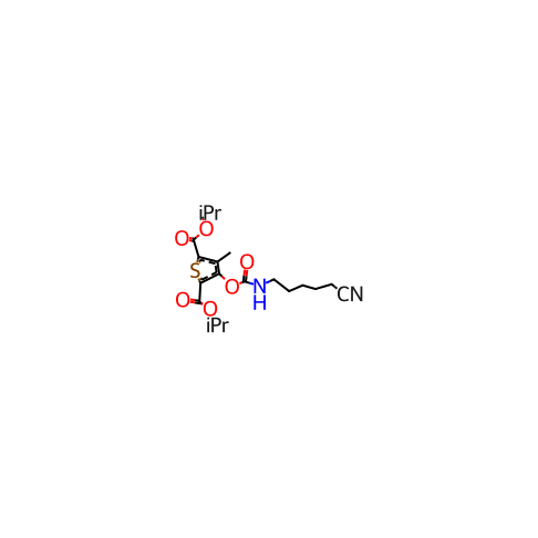 Cc1c(C(=O)OC(C)C)sc(C(=O)OC(C)C)c1OC(=O)NCCCCCC#N